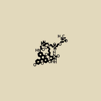 C=CS(=O)(=O)CCOCCS(=O)(=O)CCN(Cc1cn(CC(=O)Nc2ccc(-c3c4ccc(=O)cc-4oc4cc(O)ccc34)c(C(=O)O)c2)nn1)C(=O)CCCCC1SCC2NC(=O)NC21